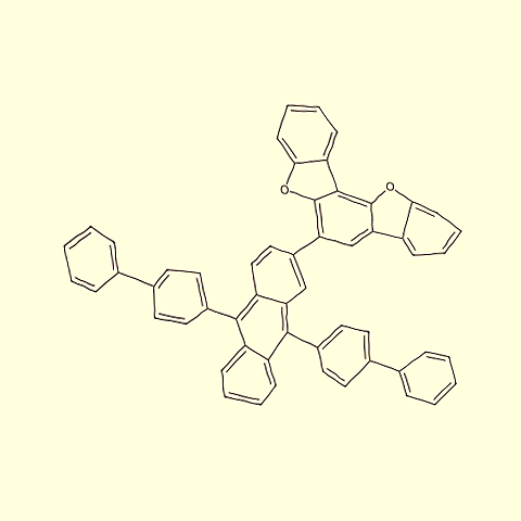 c1ccc(-c2ccc(-c3c4ccccc4c(-c4ccc(-c5ccccc5)cc4)c4cc(-c5cc6c7ccccc7oc6c6c5oc5ccccc56)ccc34)cc2)cc1